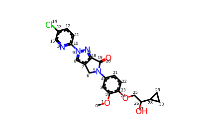 COc1cc(N2Cc3cn(-c4ccc(Cl)cn4)nc3C2=O)ccc1OCC(O)C1CC1